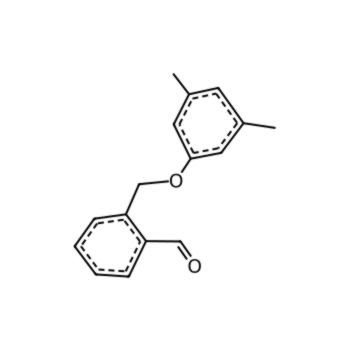 Cc1cc(C)cc(OCc2ccccc2C=O)c1